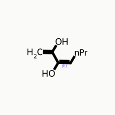 C=C(O)/C(O)=C\CCC